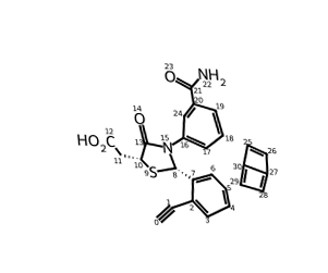 C#Cc1ccccc1[C@@H]1S[C@H](CC(=O)O)C(=O)N1c1cccc(C(N)=O)c1.c1cc2ccc1-2